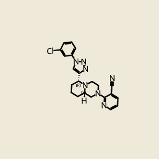 N#Cc1cccnc1N1CCN2[C@@H](CCC[C@@H]2c2cn(-c3cccc(Cl)c3)nn2)C1